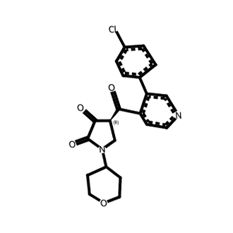 O=C1C(=O)N(C2CCOCC2)C[C@@H]1C(=O)c1ccncc1-c1ccc(Cl)cc1